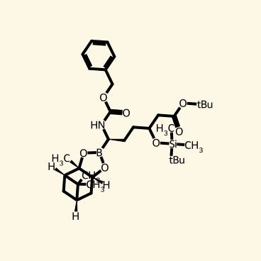 CC(C)(C)OC(=O)CC(CC[C@H](NC(=O)OCc1ccccc1)B1O[C@@H]2C[C@@H]3C[C@@H](C3(C)C)[C@]2(C)O1)O[Si](C)(C)C(C)(C)C